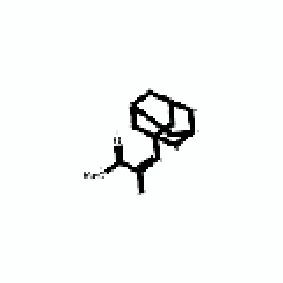 COC(=O)C(C)=CC12CC3CC(CC(C3)C1)C2